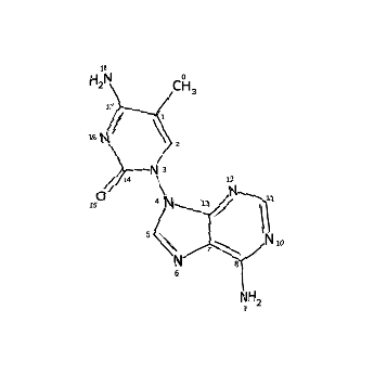 Cc1cn(-n2cnc3c(N)ncnc32)c(=O)nc1N